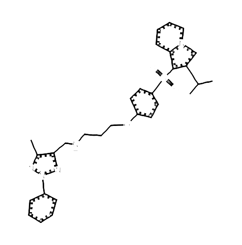 Cc1nn(-c2ccccc2)nc1CNCCCOc1ccc(S(=O)(=O)c2c(C(C)C)cn3ccccc23)cc1